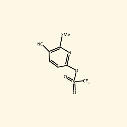 CSc1nc(OS(=O)(=O)C(F)(F)F)ccc1C#N